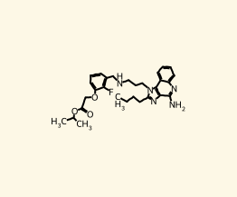 CCCCc1nc2c(N)nc3ccccc3c2n1CCCNCc1cccc(OCC(=O)OC(C)C)c1F